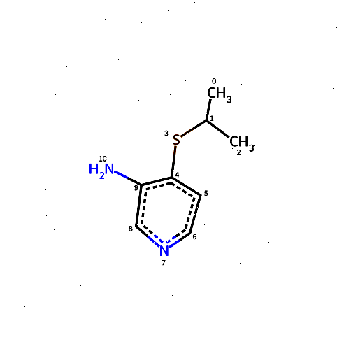 CC(C)Sc1ccncc1N